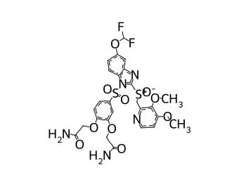 COc1ccnc(C[S+]([O-])c2nc3cc(OC(F)F)ccc3n2S(=O)(=O)c2ccc(OCC(N)=O)c(OCC(N)=O)c2)c1OC